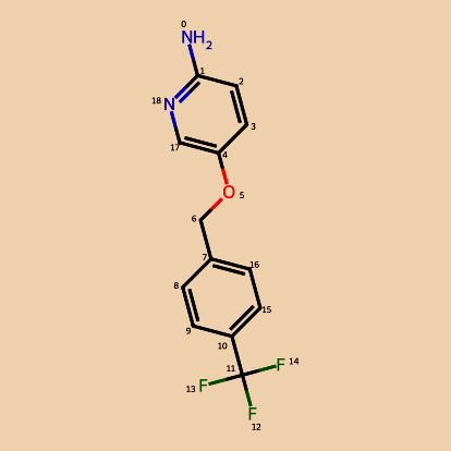 Nc1ccc(OCc2ccc(C(F)(F)F)cc2)cn1